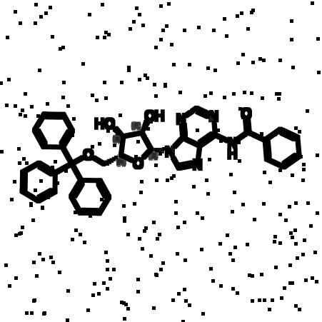 O=C(Nc1ncnc2c1ncn2[C@@H]1O[C@H](COC(c2ccccc2)(c2ccccc2)c2ccccc2)[C@@H](O)[C@H]1O)c1ccccc1